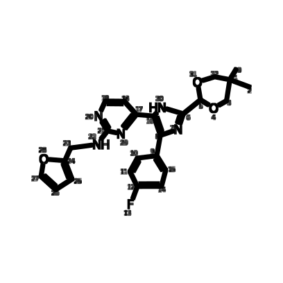 CC1(C)COC(c2nc(-c3ccc(F)cc3)c(-c3ccnc(NCc4ccco4)n3)[nH]2)OC1